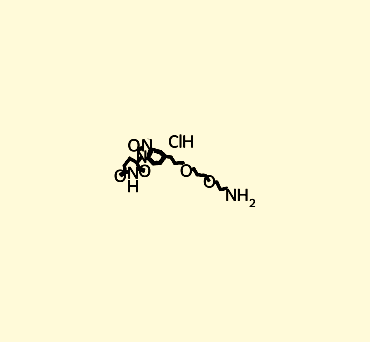 Cl.Cn1c(=O)n(C2CCC(=O)NC2=O)c2ccc(CCCOCCCOCCCN)cc21